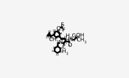 Cc1c(C(=O)NCC(C)(C)O)cc(-c2cc(OC(F)F)cc(C3(C)CC3)c2)n1CC1CCCCC1